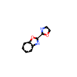 c1ccc2oc(-c3ncco3)nc2c1